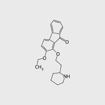 CCOc1ccc2c(c1OCCC1CCCCN1)C(=O)c1ccccc1-2